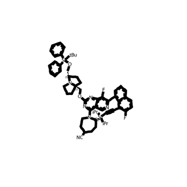 CC(C)[Si](C#Cc1c(F)ccc2cccc(-c3ncc4c(N5CCCC(C#N)CC5)nc(OC[C@@]56CCCN5[C@H](CO[Si](c5ccccc5)(c5ccccc5)C(C)(C)C)CC6)nc4c3F)c12)(C(C)C)C(C)C